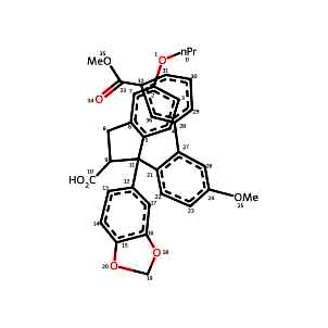 CCCOc1ccc2c(c1)CC(C(=O)O)C2(c1ccc2c(c1)OCO2)c1ccc(OC)cc1-c1cccc(C(=O)OC)c1